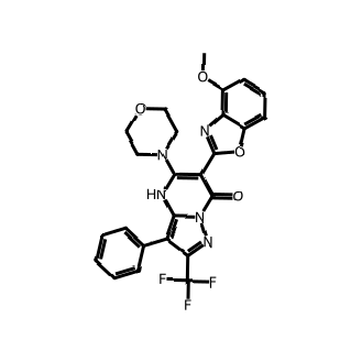 COc1cccc2oc(-c3c(N4CCOCC4)[nH]c4c(-c5ccccc5)c(C(F)(F)F)nn4c3=O)nc12